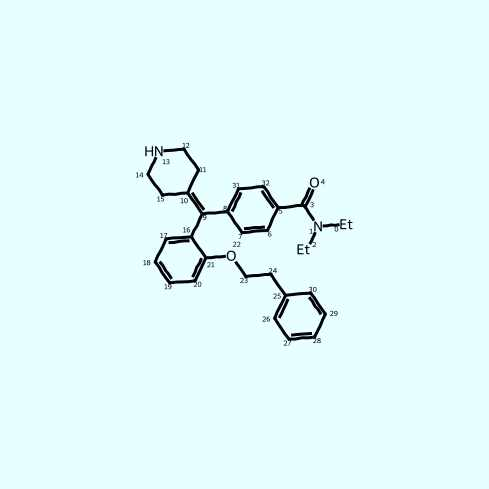 CCN(CC)C(=O)c1ccc(C(=C2CCNCC2)c2ccccc2OCCc2ccccc2)cc1